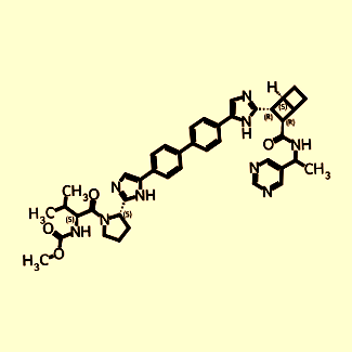 COC(=O)N[C@H](C(=O)N1CCC[C@H]1c1ncc(-c2ccc(-c3ccc(-c4cnc([C@H]5[C@H](C(=O)NC(C)c6cncnc6)C6CC[C@@H]65)[nH]4)cc3)cc2)[nH]1)C(C)C